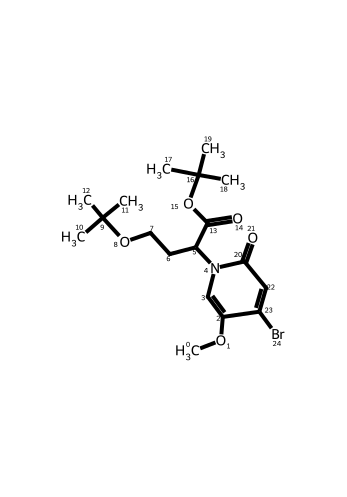 COc1cn(C(CCOC(C)(C)C)C(=O)OC(C)(C)C)c(=O)cc1Br